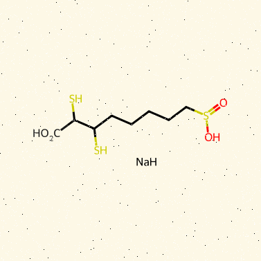 O=C(O)C(S)C(S)CCCCCS(=O)O.[NaH]